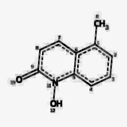 Cc1cccc2c1ccc(=O)n2O